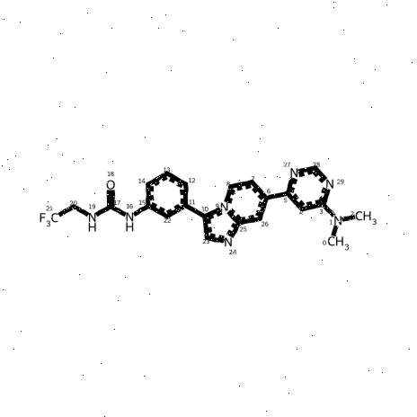 CN(C)c1cc(-c2ccn3c(-c4cccc(NC(=O)NCC(F)(F)F)c4)cnc3c2)ncn1